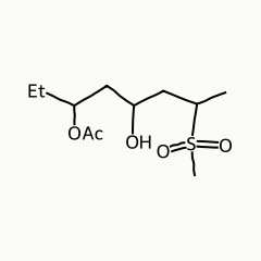 CCC(CC(O)CC(C)S(C)(=O)=O)OC(C)=O